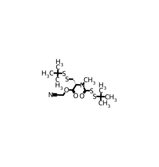 CN(C(=O)SSC(C)(C)C)[C@@H](CSSC(C)(C)C)C(=O)OCC#N